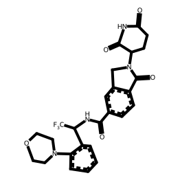 O=C1CCC(N2Cc3cc(C(=O)NC(c4ccccc4N4CCOCC4)C(F)(F)F)ccc3C2=O)C(=O)N1